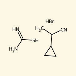 Br.CC(C#N)C1CC1.N=C(N)S